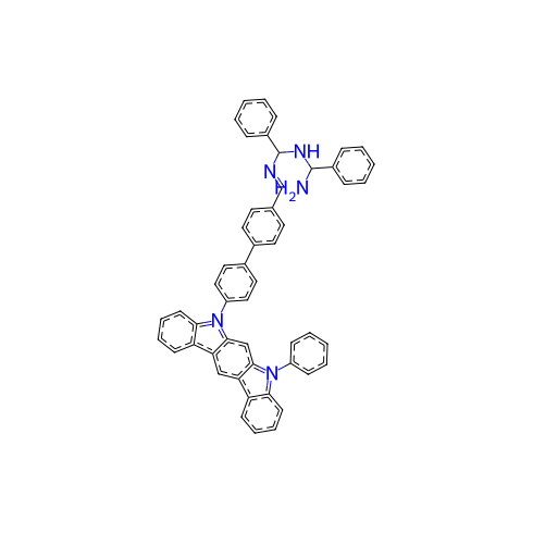 NC(NC(/N=C/c1ccc(-c2ccc(-n3c4ccccc4c4cc5c6ccccc6n(-c6ccccc6)c5cc43)cc2)cc1)c1ccccc1)c1ccccc1